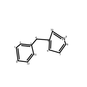 [c]1ccc(Cc2cccnc2)cc1